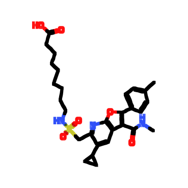 CNC(=O)c1c(-c2ccc(C)cc2)oc2nc(CS(=O)(=O)NCCCCCCCCC(=O)O)c(C3CC3)cc12